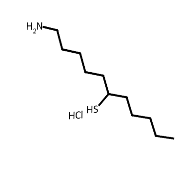 CCCCCC(S)CCCCCN.Cl